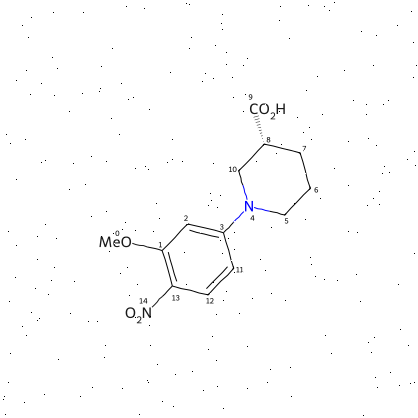 COc1cc(N2CCC[C@@H](C(=O)O)C2)ccc1[N+](=O)[O-]